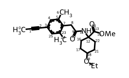 CC#Cc1cc(C)c(CC(=O)NC2(C(=O)OC)CCC(OCC)CC2)c(C)c1